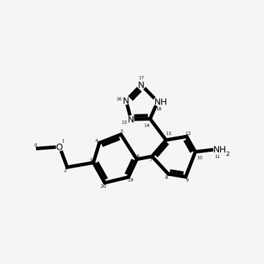 COCc1ccc(-c2ccc(N)cc2-c2nnn[nH]2)cc1